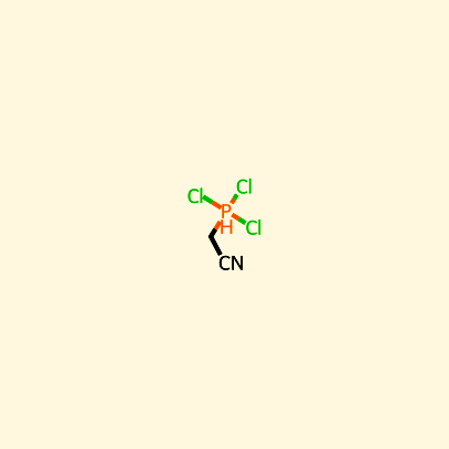 N#CC[PH](Cl)(Cl)Cl